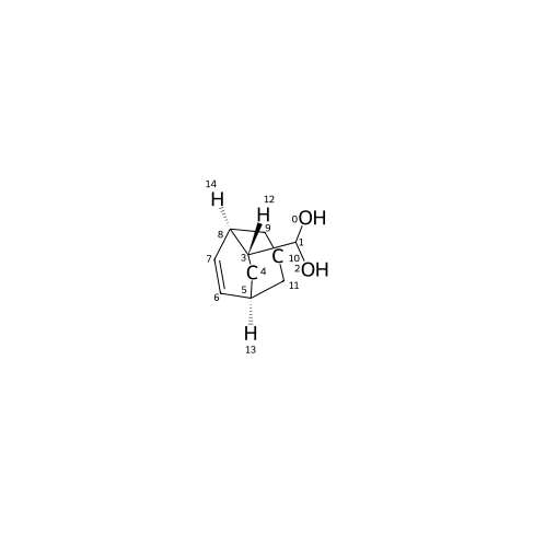 OC(O)[C@@H]1C[C@@H]2C=C[C@H]1CCC2